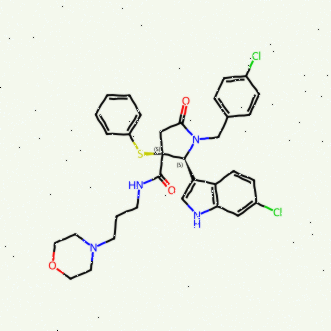 O=C1C[C@@](Sc2ccccc2)(C(=O)NCCCN2CCOCC2)[C@H](c2c[nH]c3cc(Cl)ccc23)N1Cc1ccc(Cl)cc1